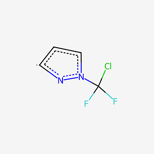 FC(F)(Cl)n1cc[c]n1